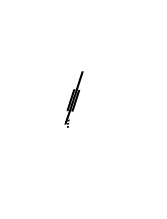 [C]C#CC